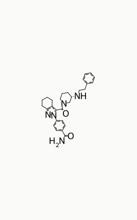 NC(=O)c1ccc(-n2nc3c(c2C(=O)N2CCC[C@H](NCCc4ccccc4)C2)CCCC3)cc1